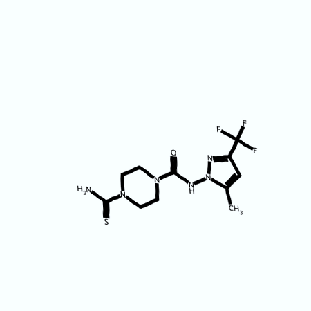 Cc1cc(C(F)(F)F)nn1NC(=O)N1CCN(C(N)=S)CC1